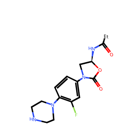 CCC(=O)N[C@@H]1CN(c2ccc(N3CCNCC3)c(F)c2)C(=O)O1